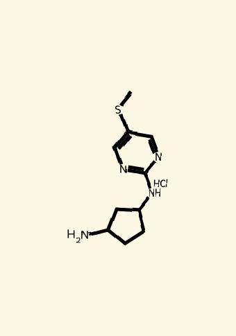 CSc1cnc(NC2CCC(N)C2)nc1.Cl